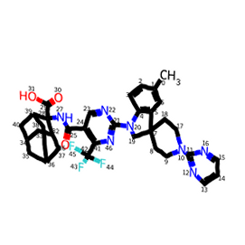 Cc1ccc2c(c1)C1(CCN(c3ncccn3)CC1)CN2c1ncc(C(=O)NC2(C(=O)O)C3CC4CC(C3)CC2C4)c(C(F)(F)F)n1